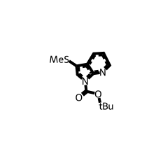 CSc1cn(C(=O)OC(C)(C)C)c2ncccc12